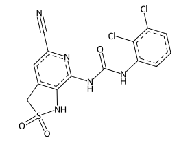 N#Cc1cc2c(c(NC(=O)Nc3cccc(Cl)c3Cl)n1)NS(=O)(=O)C2